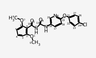 COc1cccc(OC)c1C(=O)NC(=O)Nc1ccc(Oc2ccc(Cl)cc2)nc1